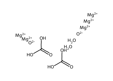 O.O.O=C(O)O.O=C(O)O.[Mg+2].[Mg+2].[Mg+2].[Mg+2].[Mg+2].[O-2].[O-2]